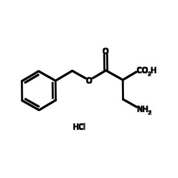 Cl.NCC(C(=O)O)C(=O)OCc1ccccc1